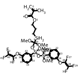 C=C(C)C(=O)OCCC[SiH2]C(OC)(OC)O[Si](OC)(O[Si](OC)(OC)c1cccc(OC(F)=C(F)F)c1)c1cccc(OC(F)=C(F)F)c1